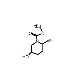 CCCC1CCC(O)CN1C(=O)OC(C)(C)C